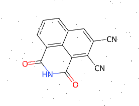 N#Cc1cc2cccc3c2c(c1C#N)C(=O)NC3=O